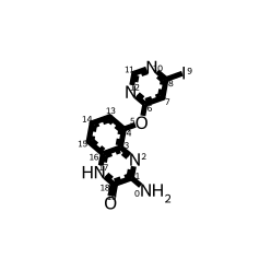 Nc1nc2c(Oc3cc(I)ncn3)cccc2[nH]c1=O